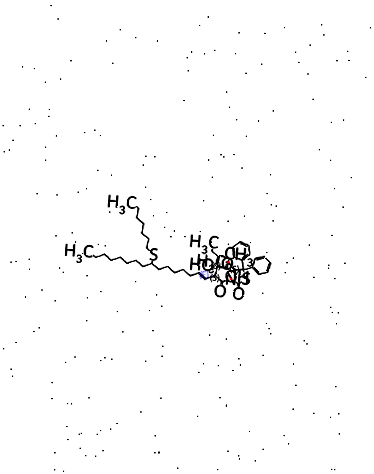 CCCCCCCCC(CCCCC/C=C/[C@H](C(=O)N1C(=O)SC(c2ccccc2)(c2ccccc2)[C@@H]1C(C)C)[C@@](O)(CCC)C(=O)O)SCCCCCCC